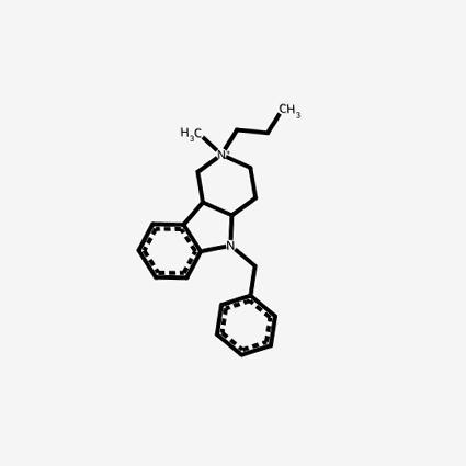 CCC[N+]1(C)CCC2C(C1)c1ccccc1N2Cc1ccccc1